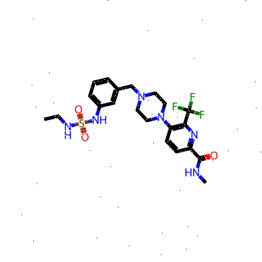 CCNS(=O)(=O)Nc1cccc(CN2CCN(c3ccc(C(=O)NC)nc3C(F)(F)F)CC2)c1